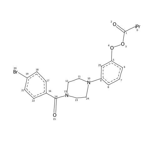 CC(C)C(=O)OOc1cccc(N2CCN(C(=O)c3ccc(Br)cc3)CC2)c1